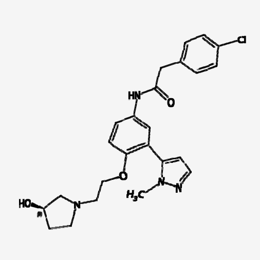 Cn1nccc1-c1cc(NC(=O)Cc2ccc(Cl)cc2)ccc1OCCN1CC[C@@H](O)C1